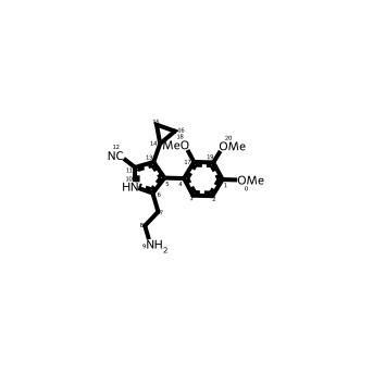 COc1ccc(-c2c(CCN)[nH]c(C#N)c2C2CC2)c(OC)c1OC